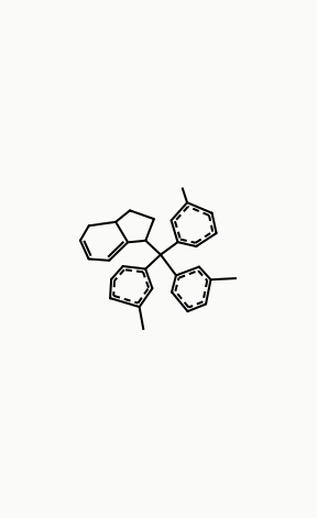 Cc1cccc(C(c2cccc(C)c2)(c2cccc(C)c2)C2CCC3CC=CC=C32)c1